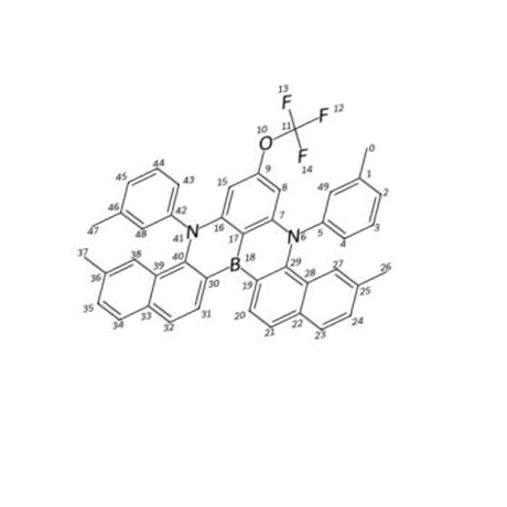 Cc1cccc(N2c3cc(OC(F)(F)F)cc4c3B(c3ccc5ccc(C)cc5c32)c2ccc3ccc(C)cc3c2N4c2cccc(C)c2)c1